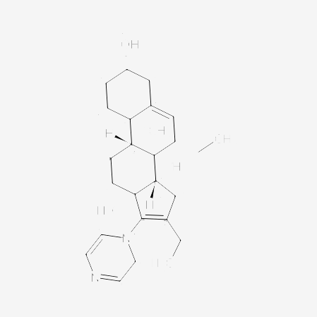 CCC1=C(N2C=CN=CC2)[C@@]2(C)CC[C@H]3[C@@H]([C@@H](CC)C=C4C[C@@H](O)CC[C@@]43C)[C@@H]2C1